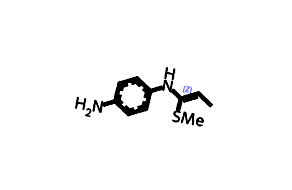 C/C=C(/Nc1ccc(N)cc1)SC